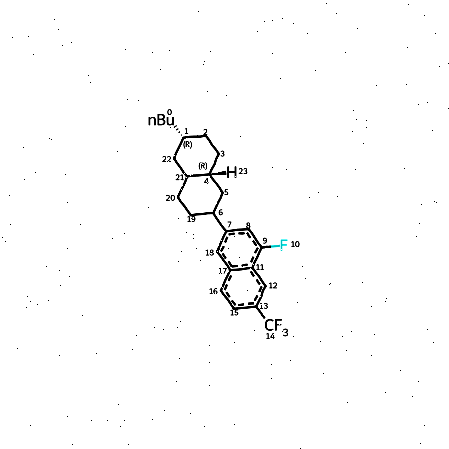 CCCC[C@@H]1CC[C@@H]2CC(c3cc(F)c4cc(C(F)(F)F)ccc4c3)CCC2C1